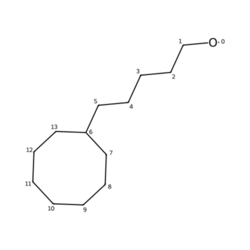 [O]CCCCCC1CCCCCCC1